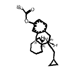 CC(C)(C)C(=O)Oc1ccc2c(c1)[C@@]13CCCC[C@H]1[C@@H](C2)N(CC1CC1)CC3